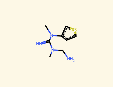 CN(CN)C(=N)N(C)c1ccsc1